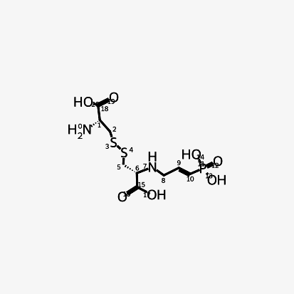 N[C@@H](CSSC[C@H](NCC=CP(=O)(O)O)C(=O)O)C(=O)O